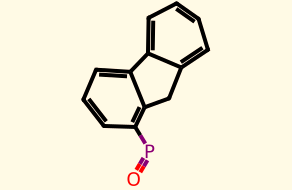 O=Pc1cccc2c1Cc1ccccc1-2